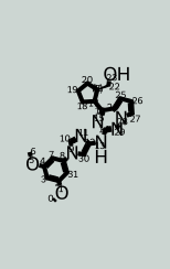 COc1cc(OC)cc(-n2cnc(Nc3nc(C4CCC[C@H]4CO)c4cccn4n3)c2)c1